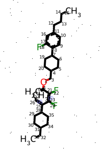 C=C(OCC1CCC(c2ccc(CCCC)cc2F)CC1)/C(F)=C(F)\C(=C/C)C1CCC(CC)CC1